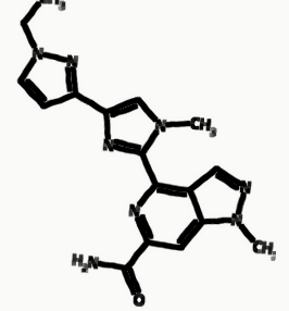 CCn1ccc(-c2cn(C)c(-c3nc(C(N)=O)cc4c3cnn4C)n2)n1